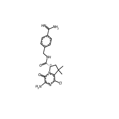 CC1(C)C[C@@H](C(=O)NCc2ccc(C(=N)N)cc2)n2c1c(Cl)nc(N)c2=O